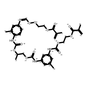 C=C(C)C(=O)OCCOO/C=N\c1ccc(NC(=O)OC(C)COC(=O)Nc2cc(C)cc(NC(=O)OCCOC(=O)C(=C)C)c2)c(C)c1